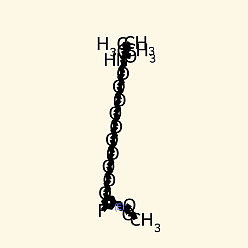 CCOC(=O)/C=C/c1cc(F)cc(OCCOCCOCCOCCOCCOCCOCCOCCOCCOCCNC(=O)OC(C)(C)C)c1